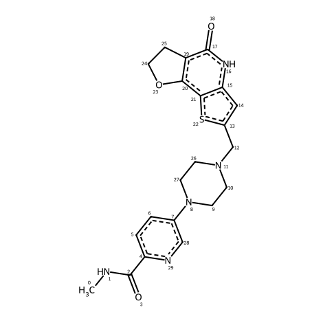 CNC(=O)c1ccc(N2CCN(Cc3cc4[nH]c(=O)c5c(c4s3)OCC5)CC2)cn1